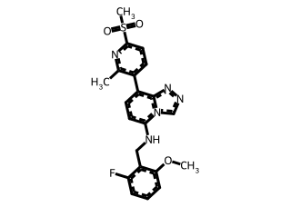 COc1cccc(F)c1CNc1ccc(-c2ccc(S(C)(=O)=O)nc2C)c2nncn12